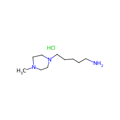 CN1CCN(CCCCCN)CC1.Cl